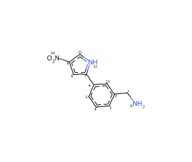 NCc1cccc(-c2cc([N+](=O)[O-])c[nH]2)c1